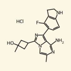 Cc1cn2c(C3CC(C)(O)C3)nc(-c3ccc4c(c3F)CCN4)c2c(N)n1.Cl